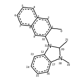 Cc1cc2ccccc2cc1N1c2ccccc2N(C)C1C